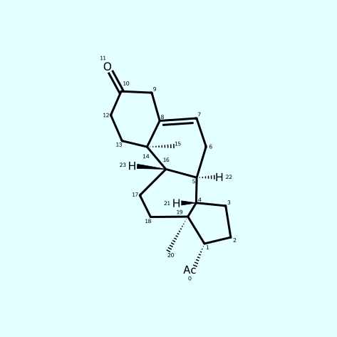 CC(=O)[C@H]1CC[C@H]2[C@@H]3CC=C4CC(=O)CC[C@]4(C)[C@H]3CC[C@]12C